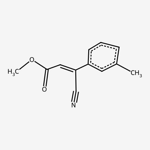 COC(=O)C=C(C#N)c1cccc(C)c1